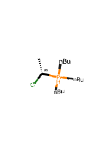 CCCC[PH](CCCC)(CCCC)[C@@H](C)Cl